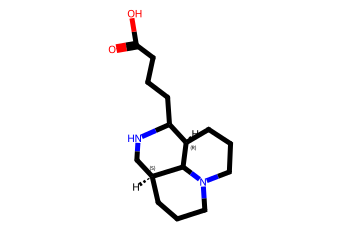 O=C(O)CCCC1NC[C@@H]2CCCN3CCC[C@H]1C23